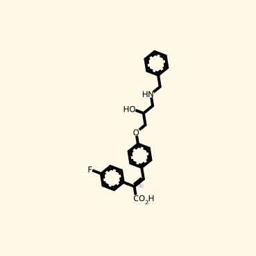 O=C(O)/C(=C/c1ccc(OCC(O)CNCc2ccccc2)cc1)c1ccc(F)cc1